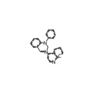 C1=NCN(c2ccccc2)c2ccccc21.c1ccc2ncccc2c1